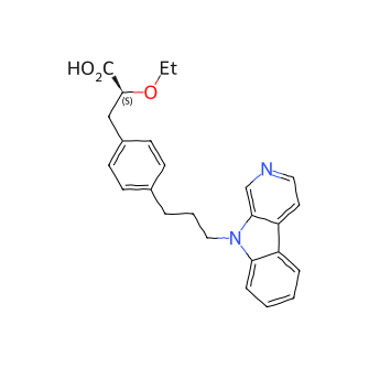 CCO[C@@H](Cc1ccc(CCCn2c3ccccc3c3ccncc32)cc1)C(=O)O